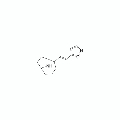 C(=CC1CCCC2CCC1N2)c1ccno1